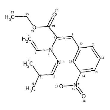 C=CN(/N=C\C(C)C)/C(=C\c1cccc([N+](=O)[O-])c1)C(=O)OCC